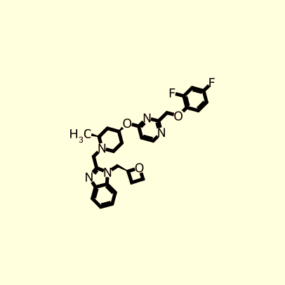 C[C@H]1C[C@@H](Oc2ccnc(COc3ccc(F)cc3F)n2)CCN1Cc1nc2ccccc2n1C[C@@H]1CCO1